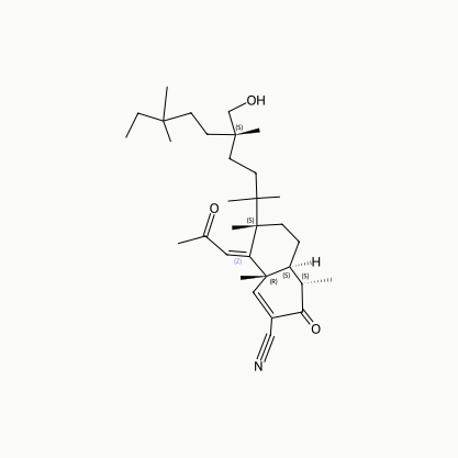 CCC(C)(C)CC[C@](C)(CO)CCC(C)(C)[C@]1(C)CC[C@H]2[C@H](C)C(=O)C(C#N)=C[C@]2(C)/C1=C/C(C)=O